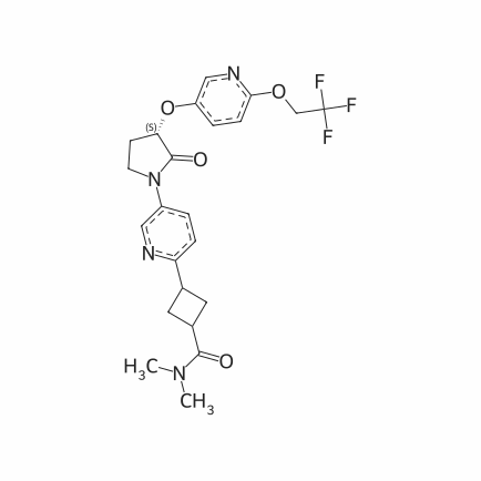 CN(C)C(=O)C1CC(c2ccc(N3CC[C@H](Oc4ccc(OCC(F)(F)F)nc4)C3=O)cn2)C1